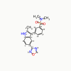 Cc1[nH]c2ccc(-c3ncon3)cc2c1-c1cccc(S(=O)(=O)N(C)C)c1